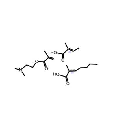 C/C=C(\C)C(=O)O.C=C(C)C(=O)OCCN(C)C.CCCC/C=C(\C)C(=O)O